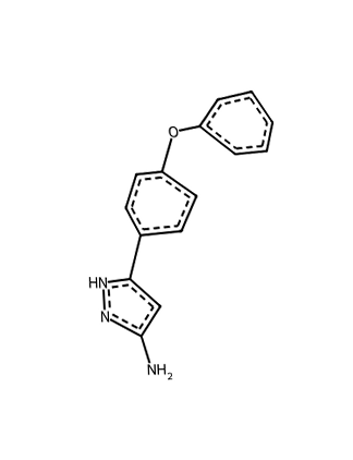 Nc1cc(-c2ccc(Oc3ccccc3)cc2)[nH]n1